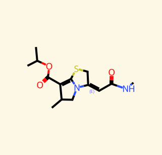 CNC(=O)/C=C1\CSC2=C(C(=O)OC(C)C)C(C)CN21